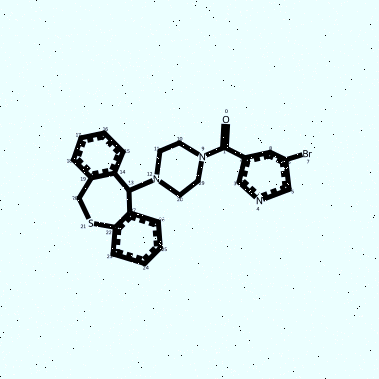 O=C(c1cncc(Br)c1)N1CCN(C2c3ccccc3CSc3ccccc32)CC1